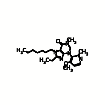 CCCCCCCn1c(CC)nc2c1C(=O)N(C)CN2c1c(OC)ccnc1C